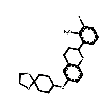 Cc1c(F)cccc1C1CCc2cc(OC3CCC4(CC3)OCCO4)ccc2O1